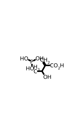 C=C(C(=O)O)C(C)O.OP(O)O